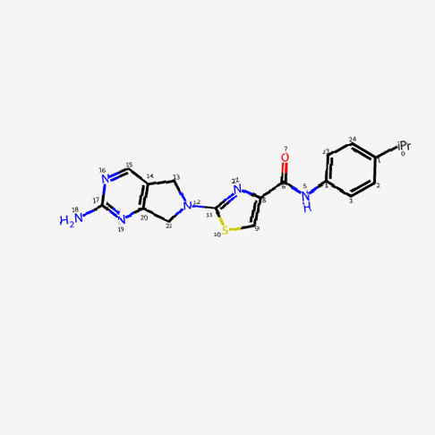 CC(C)c1ccc(NC(=O)c2csc(N3Cc4cnc(N)nc4C3)n2)cc1